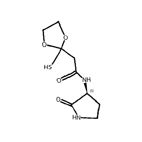 O=C(CC1(S)OCCO1)N[C@H]1CCNC1=O